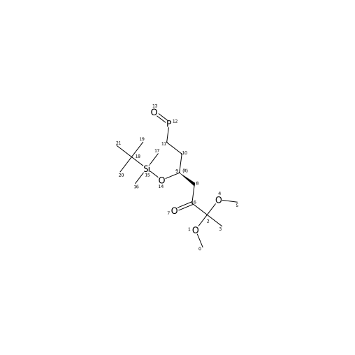 COC(C)(OC)C(=O)C[C@H](CCP=O)O[Si](C)(C)C(C)(C)C